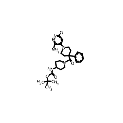 CC(C)(C)OC(=O)NC1CCN(C(=O)C2(c3ccccc3)CCN(c3cc(Cl)nnc3N)CC2)CC1